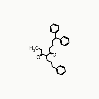 CCC(=O)C(CCCc1ccccc1)C(=O)CCCC(c1ccccc1)c1ccccc1